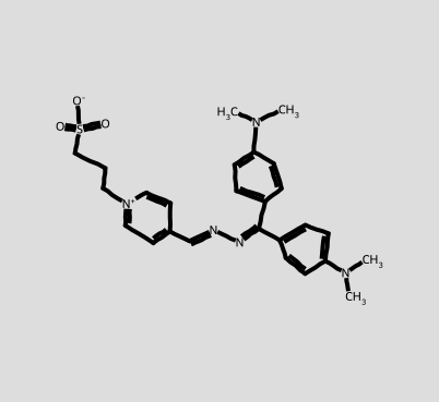 CN(C)c1ccc(C(=N/N=C/c2cc[n+](CCCS(=O)(=O)[O-])cc2)c2ccc(N(C)C)cc2)cc1